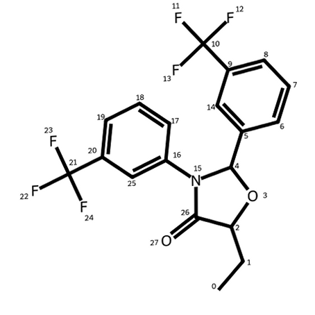 CCC1OC(c2cccc(C(F)(F)F)c2)N(c2cccc(C(F)(F)F)c2)C1=O